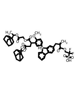 C=C(Cc1ccc2c(c1)[SiH](c1ccc(OC)c(C(CC(=O)OC3(C)C4CC5CC(C4)CC3C5)C(=O)OCC(=O)OC(C)C34CC5CC(CC(C5)C3)C4)c1)c1ccccc1-2)C(=O)OCC(F)(F)S(=O)(=O)O